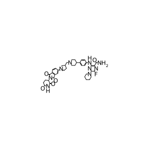 NC(=O)c1nc(F)c(N2CCCCC2)nc1Nc1ccc(C2CCN(CC3CCN(c4ccc5c(c4)C(=O)N(C4CCC(=O)NC4=O)C5=O)C3)CC2)cc1